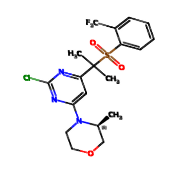 C[C@H]1COCCN1c1cc(C(C)(C)S(=O)(=O)c2ccccc2C(F)(F)F)nc(Cl)n1